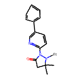 CCN1N(c2ccc(-c3ccccc3)cn2)C(=O)CC1(C)C